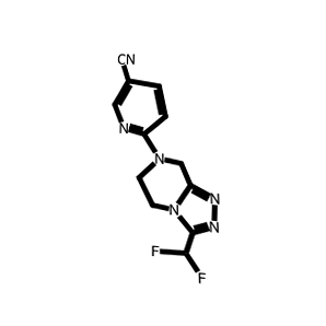 N#Cc1ccc(N2CCn3c(nnc3C(F)F)C2)nc1